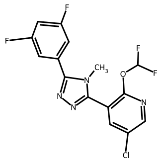 Cn1c(-c2cc(F)cc(F)c2)nnc1-c1cc(Cl)cnc1OC(F)F